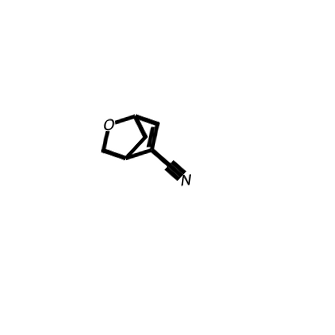 N#CC1=CC2CC1CO2